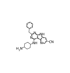 N#Cc1cnc2c(c1)[nH]c1nc(Cc3ccccc3)nc(NC3CCC(N)CC3)c12